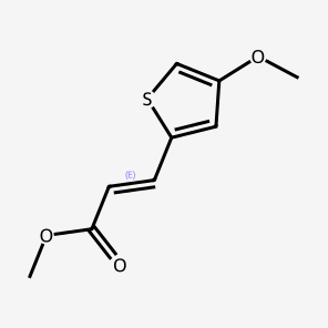 COC(=O)/C=C/c1cc(OC)cs1